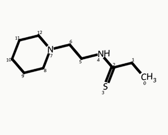 CCC(=S)NCCN1CCCCC1